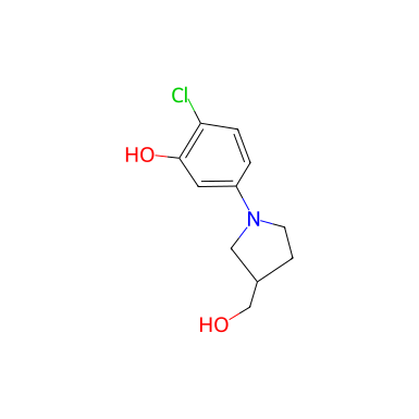 OCC1CCN(c2ccc(Cl)c(O)c2)C1